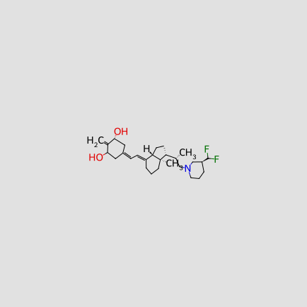 C=C1C(O)C/C(=C/C=C2\CCC[C@]3(C)[C@@H]([C@H](C)CN4CCC[C@H](C(F)F)C4)CC[C@@H]23)C[C@H]1O